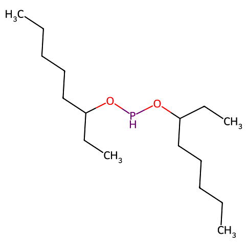 CCCCCC(CC)OPOC(CC)CCCCC